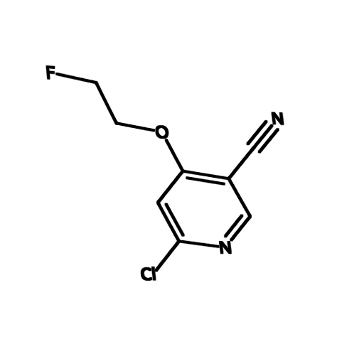 N#Cc1cnc(Cl)cc1OCCF